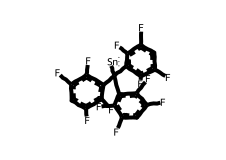 Fc1cc(F)c(F)c([C]([Sn])(c2c(F)c(F)cc(F)c2F)c2c(F)c(F)cc(F)c2F)c1F